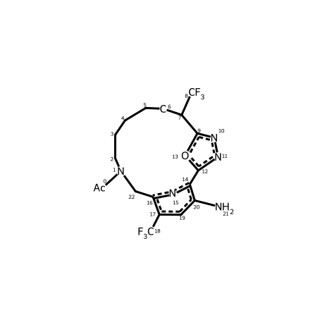 CC(=O)N1CCCCCC(C(F)(F)F)c2nnc(o2)-c2nc(c(C(F)(F)F)cc2N)C1